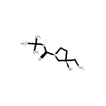 CC[C@@]1(S)CCN(C(=O)OC(C)(C)C)C1